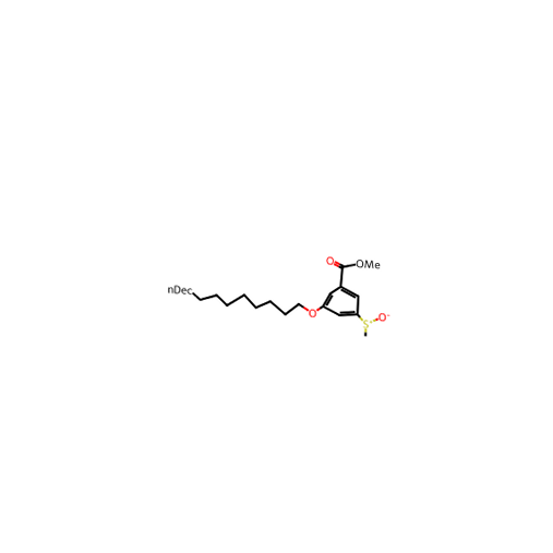 CCCCCCCCCCCCCCCCCCOc1cc(C(=O)OC)cc([S+](C)[O-])c1